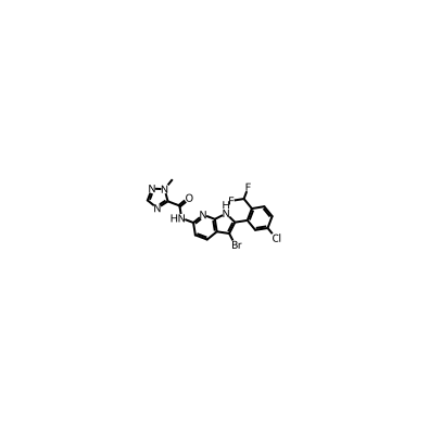 Cn1ncnc1C(=O)Nc1ccc2c(Br)c(-c3cc(Cl)ccc3C(F)F)[nH]c2n1